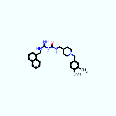 COc1ccc(CN2CCC(CNC(=O)NC(=N)NCc3cccc4ccccc34)CC2)cc1C